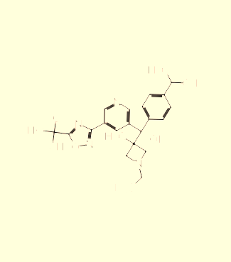 CCN1CC(C)([C@](O)(c2ccc(C(C)C)cc2)c2cncc(-c3noc(C(C)(C)O)n3)c2)C1